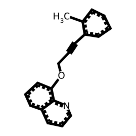 Cc1ccccc1C#CCOc1cccc2cccnc12